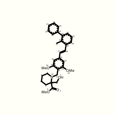 COC(=O)C1(CO)CCCCN1Cc1c(OC)cc(/C=C/c2cccc(-c3ccccc3)c2C)cc1OC